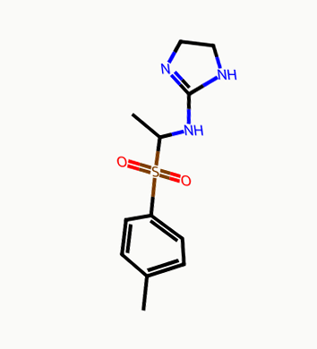 Cc1ccc(S(=O)(=O)C(C)NC2=NCCN2)cc1